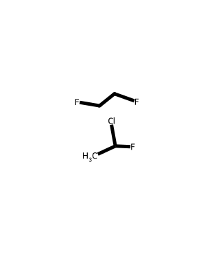 CC(F)Cl.FCCF